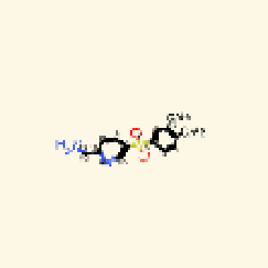 COc1ccc(S(=O)(=O)c2ccc(CN)nc2)cc1OC